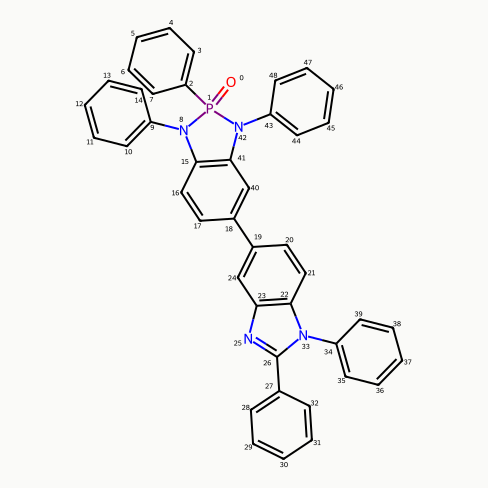 O=P1(c2ccccc2)N(c2ccccc2)c2ccc(-c3ccc4c(c3)nc(-c3ccccc3)n4-c3ccccc3)cc2N1c1ccccc1